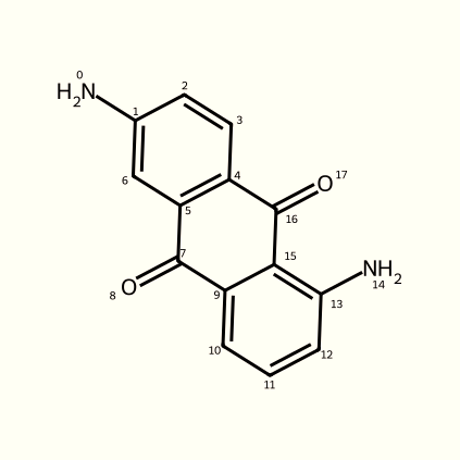 Nc1ccc2c(c1)C(=O)c1cccc(N)c1C2=O